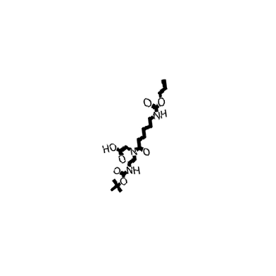 C=CCOC(=O)NCCCCCC(=O)N(CCNC(=O)OC(C)(C)C)CC(=O)O